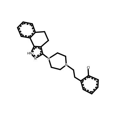 Clc1ccccc1CCN1CCN(c2n[nH]c3c2CCc2ccccc2-3)CC1